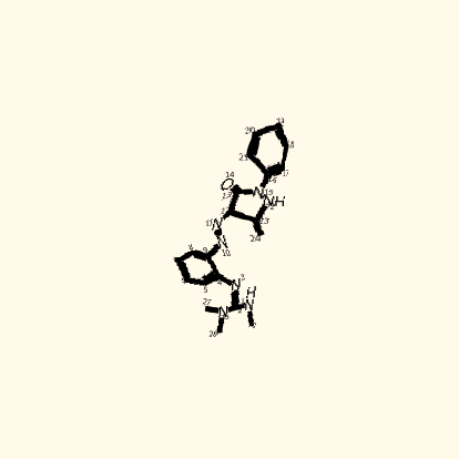 CNC(=Nc1ccccc1N=NC1C(=O)N(c2cc[c]cc2)NC1C)N(C)C